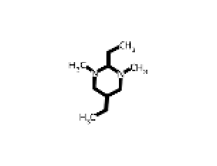 CCC1CN(C)C(CC)N(C)C1